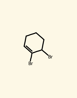 BrC1=CCCCC1Br